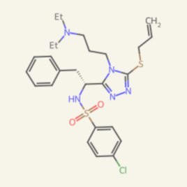 C=CCSc1nnc([C@@H](Cc2ccccc2)NS(=O)(=O)c2ccc(Cl)cc2)n1CCCN(CC)CC